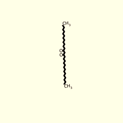 CCCCCCCCCCCCCCCC(=O)CC(=O)CCCCCCCCCCCCC